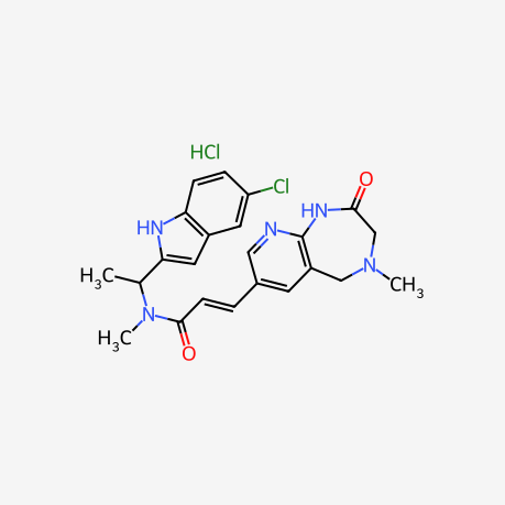 CC(c1cc2cc(Cl)ccc2[nH]1)N(C)C(=O)C=Cc1cnc2c(c1)CN(C)CC(=O)N2.Cl